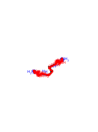 CC(C)(CCCCCc1cccc(CCCCC2(C(=O)CCNC(=O)CCNC(=O)C(O)C(C)(C)COP(=O)(O)OP(=O)(O)OCC3OC(n4cnc5c(N)ncnc54)C(O)C3OP(=O)(O)O)CC2)c1)C(=O)CCNC(=O)CCNC(=O)C(O)C(C)(C)COP(=O)(O)OP(=O)(O)OCC1OC(n2cnc3c(N)ncnc32)C(O)C1OP(=O)(O)O